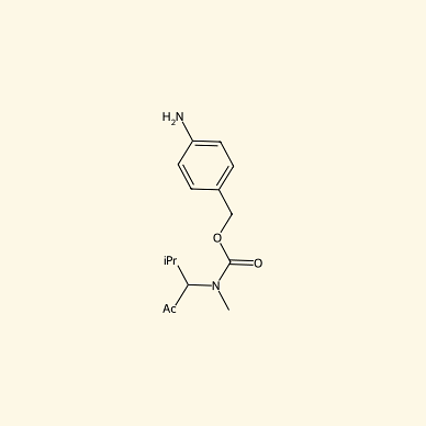 CC(=O)C(C(C)C)N(C)C(=O)OCc1ccc(N)cc1